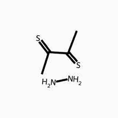 CC(=S)C(C)=S.NN